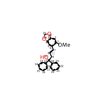 COc1cc2c(cc1/C=C/CC(O)(c1ccccc1)c1ccccc1)OCO2